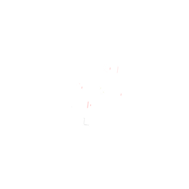 O=S(=O)(O)O.[Li][Li]